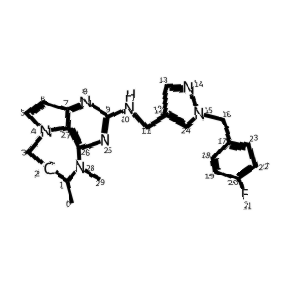 CC1CCn2ccc3nc(NCc4cnn(Cc5ccc(F)cc5)c4)nc(c32)N1C